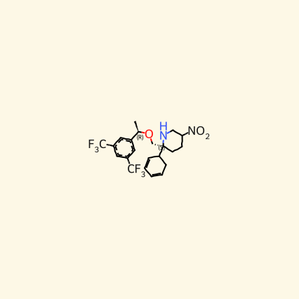 C[C@@H](OC[C@@]1(C2C=CC=CC2)CCC([N+](=O)[O-])CN1)c1cc(C(F)(F)F)cc(C(F)(F)F)c1